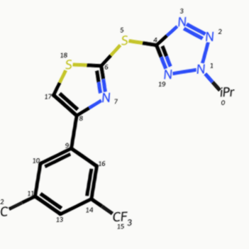 CC(C)n1nnc(Sc2nc(-c3cc(C(F)(F)F)cc(C(F)(F)F)c3)cs2)n1